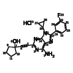 Cl.Nc1nc(C#CC2(O)CCCC2)nc2c1nc(-c1cccc(F)c1)n2C1CC1